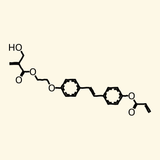 C=CC(=O)Oc1ccc(/C=C/c2ccc(OCCOC(=O)C(=C)CO)cc2)cc1